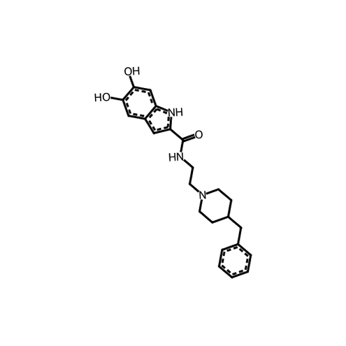 O=C(NCCN1CCC(Cc2ccccc2)CC1)c1cc2cc(O)c(O)cc2[nH]1